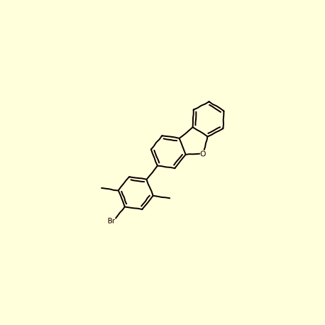 Cc1cc(-c2ccc3c(c2)oc2ccccc23)c(C)cc1Br